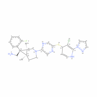 NC[C@]1(c2ccccc2F)[C@@H]2CCN(c3cnc(SC4C=CNC(n5cccn5)=C4Cl)cn3)C[C@@H]21